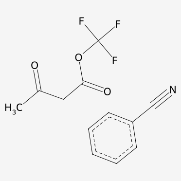 CC(=O)CC(=O)OC(F)(F)F.N#Cc1ccccc1